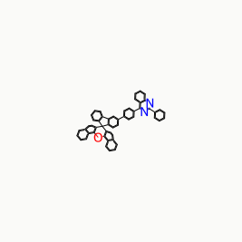 c1ccc(-c2nc(-c3ccc(-c4ccc5c(c4)-c4ccccc4C54c5ccc6ccccc6c5Oc5c4ccc4ccccc54)cc3)c3ccccc3n2)cc1